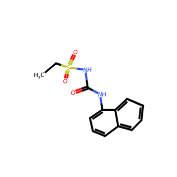 CCS(=O)(=O)NC(=O)Nc1cccc2ccccc12